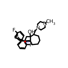 CN1CCN(CC2CCCC/C(=C/c3ccc(F)cc3)C2(O)Cc2c(F)cccc2Cl)CC1